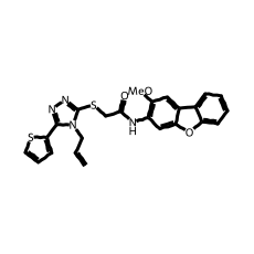 C=CCn1c(SCC(=O)Nc2cc3oc4ccccc4c3cc2OC)nnc1-c1cccs1